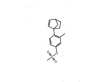 Cc1cc(OS(C)(=O)=O)ccc1C12C=CC(CC1)C2